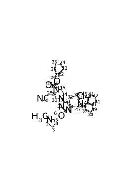 CN1CCC[C@H]1COc1nc2c(c(N3CCN(C(=O)OCc4ccccc4)[C@@H](CC#N)C3)n1)CCCN(c1cccc3cccc(Cl)c13)C2